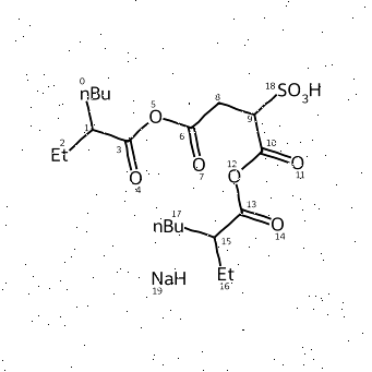 CCCCC(CC)C(=O)OC(=O)CC(C(=O)OC(=O)C(CC)CCCC)S(=O)(=O)O.[NaH]